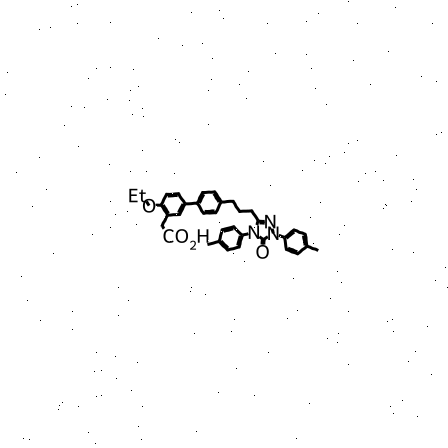 CCOc1ccc(-c2ccc(CCCc3nn(-c4ccc(C)cc4)c(=O)n3-c3ccc(C)cc3)cc2)cc1CC(=O)O